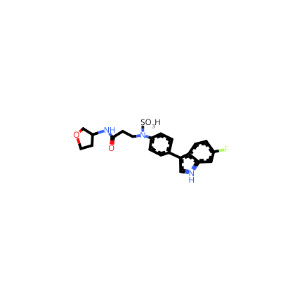 O=C(CCN(c1ccc(-c2c[nH]c3cc(F)ccc23)cc1)S(=O)(=O)O)NC1CCOC1